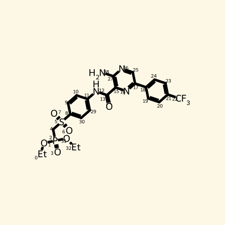 CCOP(=O)(CS(=O)(=O)c1ccc(NC(=O)c2nc(-c3ccc(C(F)(F)F)cc3)cnc2N)cc1)OCC